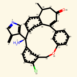 C=C1C=NC=C1[C@@]1(N)c2ccc(Cl)c(c2)COc2cccc(c2)C2=CC(=O)CC(C)c3ccc1cc32